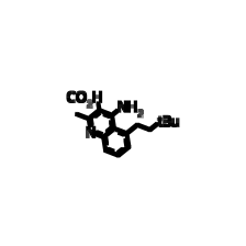 Cc1nc2cccc(CCC(C)(C)C)c2c(N)c1C(=O)O